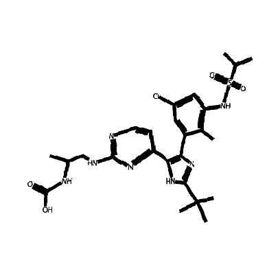 Cc1c(NS(=O)(=O)C(C)C)cc(Cl)cc1-c1nc(C(C)(C)C)[nH]c1-c1ccnc(NCC(C)NC(=O)O)n1